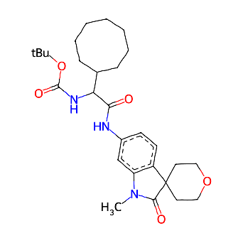 CN1C(=O)C2(CCOCC2)c2ccc(NC(=O)C(NC(=O)OC(C)(C)C)C3CCCCCCC3)cc21